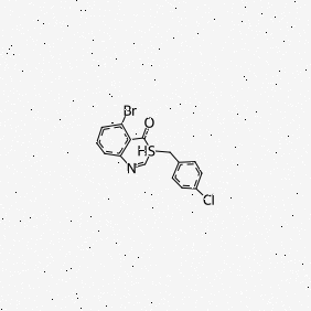 O=C1c2c(Br)cccc2N=C[SH]1Cc1ccc(Cl)cc1